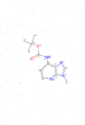 Cn1cnc2c(NC(=O)OC(C)(C)C)ccnc21